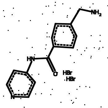 Br.Br.NCc1ccc(C(=O)Nc2ccncc2)cc1